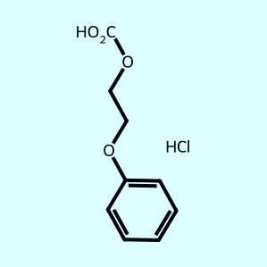 Cl.O=C(O)OCCOc1ccccc1